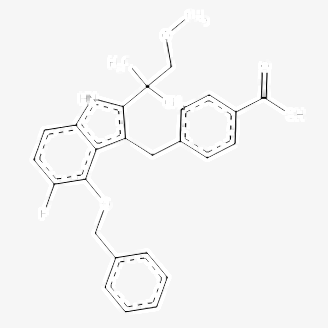 COCC(C)(C)c1[nH]c2ccc(F)c(OCc3ccccc3)c2c1Cc1ccc(C(=O)O)cc1